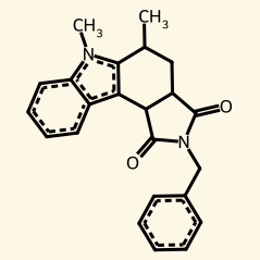 CC1CC2C(=O)N(Cc3ccccc3)C(=O)C2c2c1n(C)c1ccccc21